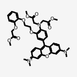 COC(=O)COc1ccccc1OCCOc1cc(-c2c3ccc(=[N+](C)C)cc-3oc3cc(N(C)C)ccc23)ccc1N(CC(=O)OC)CC(=O)OC